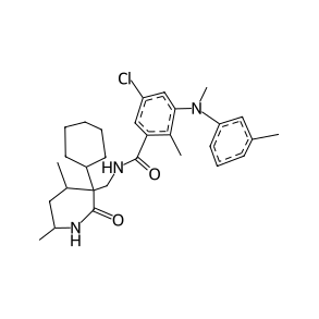 Cc1cccc(N(C)c2cc(Cl)cc(C(=O)NCC3(C4CCCCC4)C(=O)NC(C)CC3C)c2C)c1